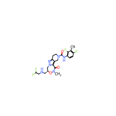 CN1O[C@@H](CNCC(F)F)Cn2nc3c(c2C1=O)CN(C(=O)Nc1ccc(F)c(C#N)c1F)CC3